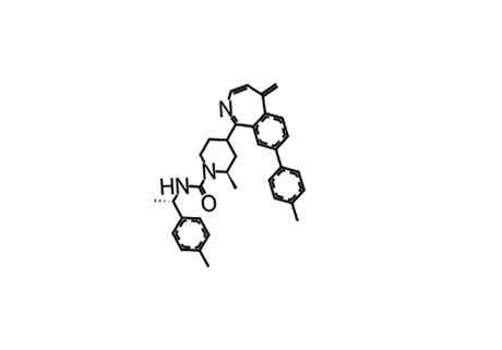 C=C1C=CN=C(C2CCN(C(=O)N[C@@H](C)c3ccc(C)cc3)[C@H](C)C2)c2cc(-c3ccc(C)cc3)ccc21